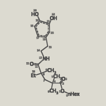 CCCCCCOC(=O)C(C)(C)CC(C)(CC)C(=O)NCCc1ccc(O)c(O)c1